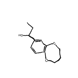 CCC(O)c1ccc2c(c1)OCCCO2